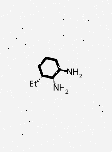 CC[C@@H]1CCC[C@@H](N)[C@@H]1N